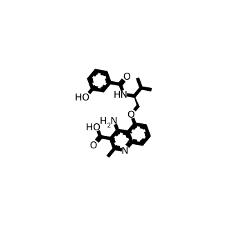 Cc1nc2cccc(OC[C@@H](NC(=O)c3cccc(O)c3)C(C)C)c2c(N)c1C(=O)O